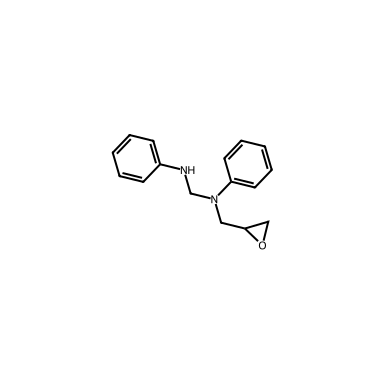 c1ccc(NCN(CC2CO2)c2ccccc2)cc1